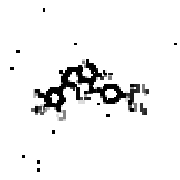 CC(=O)c1cnc2ccc(-c3cc(F)c(O)c(Cl)c3)nc2c1N(C)C1CCC(N(C)C)CC1